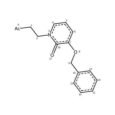 CC(=O)CCn1cccc(OCc2ccccc2)c1=O